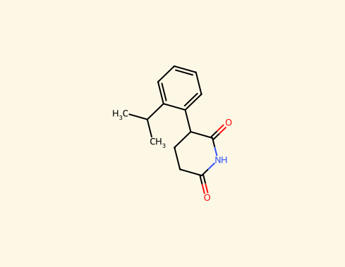 CC(C)c1ccccc1C1CCC(=O)NC1=O